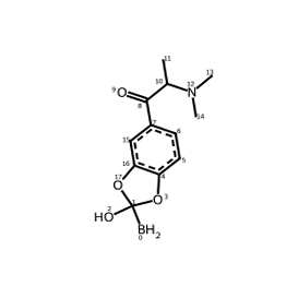 BC1(O)Oc2ccc(C(=O)C(C)N(C)C)cc2O1